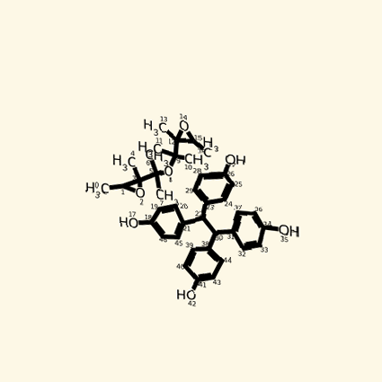 CC1OC1(C)C(C)(C)OC(C)(C)C1(C)OC1C.Oc1ccc(C(c2ccc(O)cc2)C(c2ccc(O)cc2)c2ccc(O)cc2)cc1